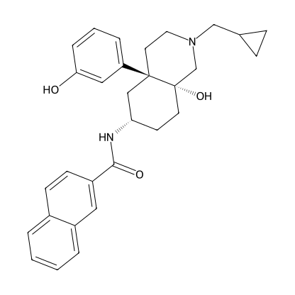 O=C(N[C@H]1CC[C@]2(O)CN(CC3CC3)CC[C@@]2(c2cccc(O)c2)C1)c1ccc2ccccc2c1